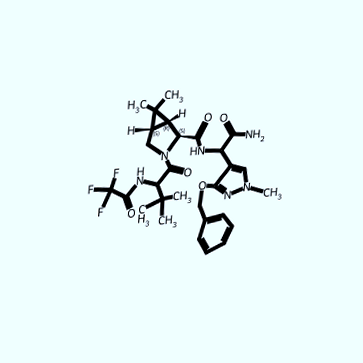 Cn1cc(C(NC(=O)[C@@H]2[C@@H]3[C@H](CN2C(=O)C(NC(=O)C(F)(F)F)C(C)(C)C)C3(C)C)C(N)=O)c(OCc2ccccc2)n1